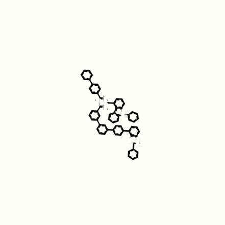 c1ccc(-c2ccc(-c3nc(-c4cccc(-c5cccc(-c6ccc(-c7cccc8nc(-c9ccccc9)oc78)cc6)c5)c4)nc(-c4cccc5c4c4ccccc4n5-c4ccccc4)n3)cc2)cc1